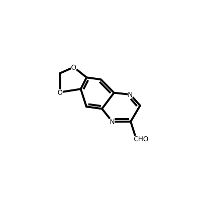 O=Cc1cnc2cc3c(cc2n1)OCO3